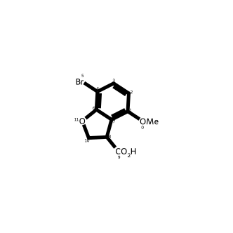 COc1ccc(Br)c2c1C(C(=O)O)CO2